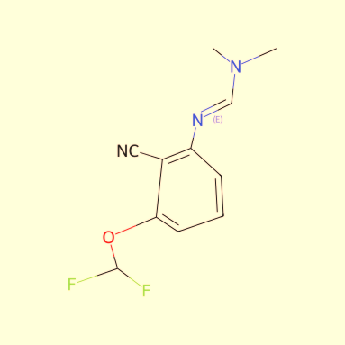 CN(C)/C=N/c1cccc(OC(F)F)c1C#N